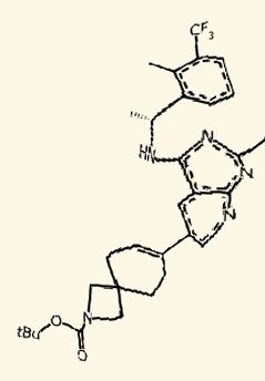 Cc1nc(N[C@H](C)c2cccc(C(F)(F)F)c2C)c2cc(C3=CCC4(CC3)CN(C(=O)OC(C)(C)C)C4)cnc2n1